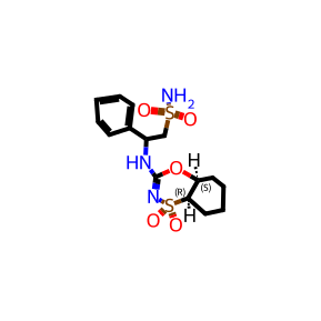 NS(=O)(=O)CC(NC1=NS(=O)(=O)[C@@H]2CCCC[C@@H]2O1)c1ccccc1